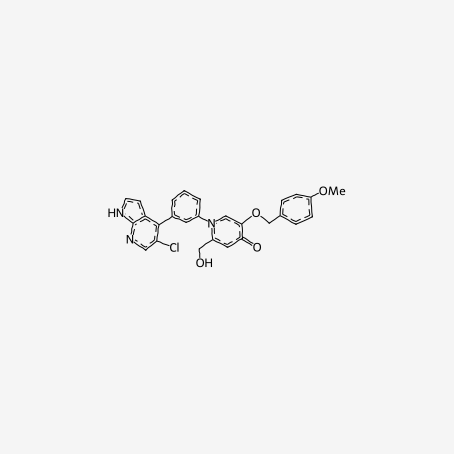 COc1ccc(COc2cn(-c3cccc(-c4c(Cl)cnc5[nH]ccc45)c3)c(CO)cc2=O)cc1